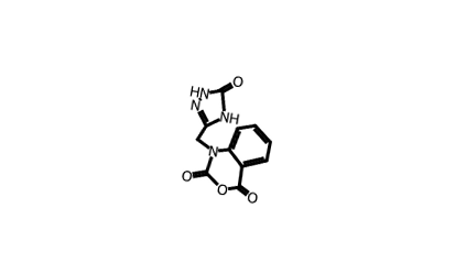 O=c1[nH]nc(Cn2c(=O)oc(=O)c3ccccc32)[nH]1